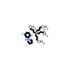 CCCC[B-](CCCC)(CCCC)CCCC.Fc1ccc(F)c([NH+]2C=CC=C2)c1